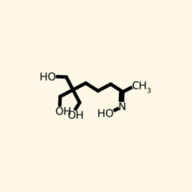 CC(CCCC(CO)(CO)CO)=NO